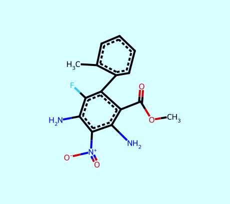 COC(=O)c1c(N)c([N+](=O)[O-])c(N)c(F)c1-c1ccccc1C